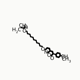 C=C(C)C(=O)OCCCCCCCCCCCOc1ccc2cc(-c3ccc(PC)cc3)c(=O)oc2n1